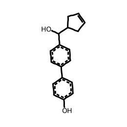 Oc1ccc(-c2ccc(C(O)C3CC=CC3)cc2)cc1